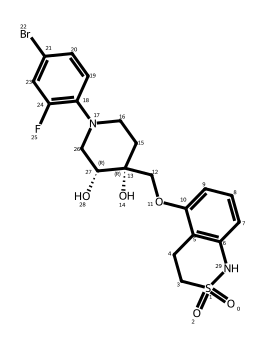 O=S1(=O)CCc2c(cccc2OC[C@]2(O)CCN(c3ccc(Br)cc3F)C[C@H]2O)N1